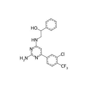 Nc1nc(NCC(O)c2ccccc2)cc(-c2ccc(C(F)(F)F)c(Cl)c2)n1